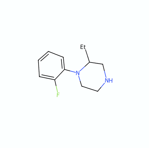 CCC1CNCCN1c1ccccc1F